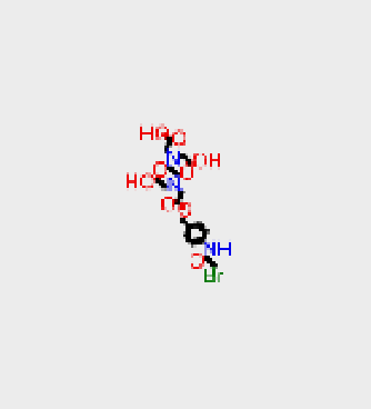 O=C(O)CN(CCN(CC(=O)O)CC(=O)OCc1ccc(NC(=O)CBr)cc1)CC(=O)O